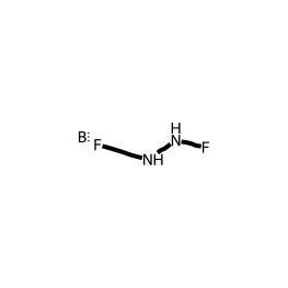 FNNF.[B]